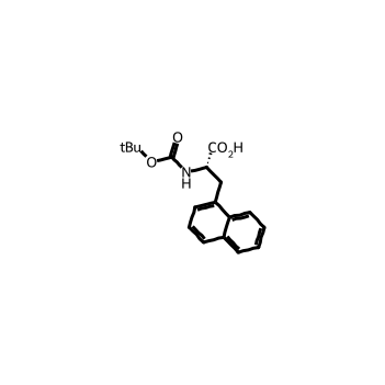 CC(C)(C)OC(=O)N[C@@H](Cc1cccc2ccccc12)C(=O)O